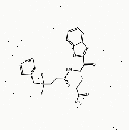 NC(=O)CC[C@H](NC(=O)[CH]CC(F)(F)Cc1ccccc1)C(=O)c1nc2ccccc2o1